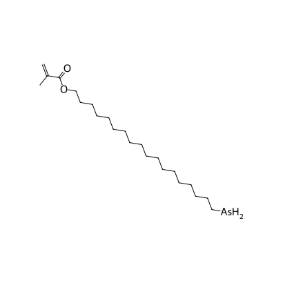 C=C(C)C(=O)OCCCCCCCCCCCCCCCCCC[AsH2]